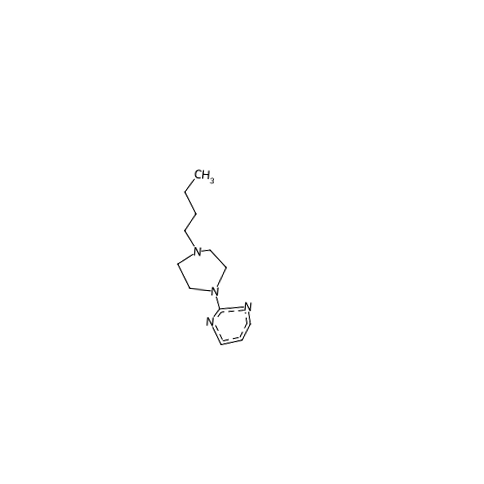 CCCCN1CCN(c2ncccn2)CC1